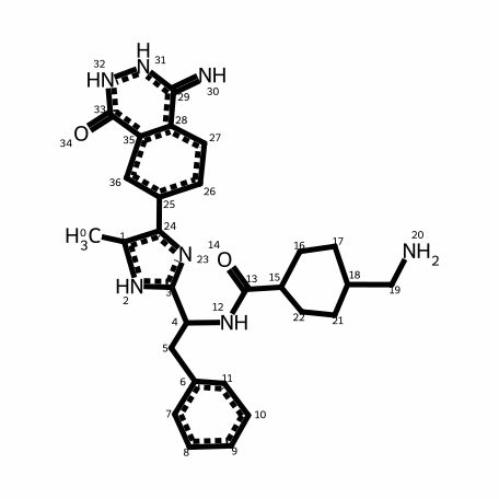 Cc1[nH]c(C(Cc2ccccc2)NC(=O)C2CCC(CN)CC2)nc1-c1ccc2c(=N)[nH][nH]c(=O)c2c1